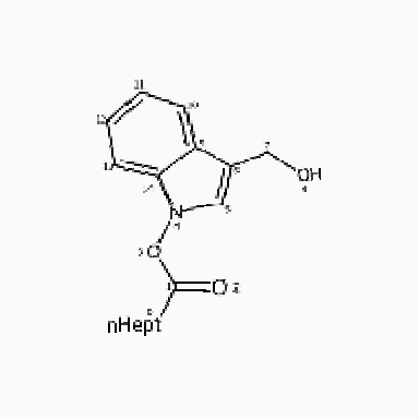 CCCCCCCC(=O)On1cc(CO)c2ccccc21